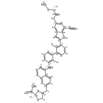 Cc1c(Nc2nccc3cc(CN4CC[C@@](C)(C(=O)O)C4)cnc23)cccc1-c1cccc(-c2nc3cc(CN[C@@H](C)CO)cc(C#N)c3o2)c1C